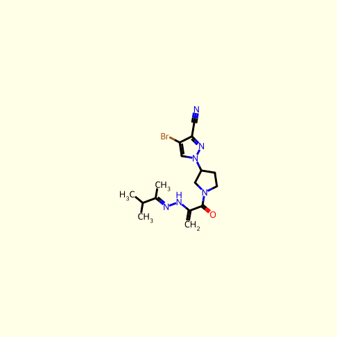 C=C(N/N=C(\C)C(C)C)C(=O)N1CCC(n2cc(Br)c(C#N)n2)C1